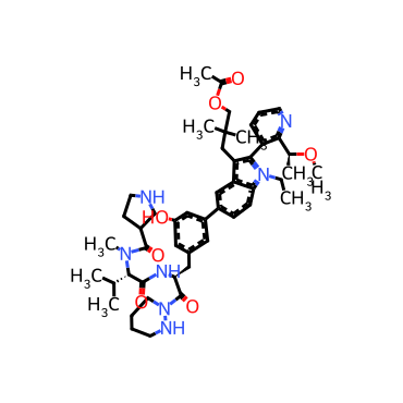 CCn1c(-c2cccnc2[C@H](C)OC)c(CC(C)(C)COC(C)=O)c2cc(-c3cc(O)cc(C[C@H](NC(=O)[C@H](C(C)C)N(C)C(=O)C4CCNC4)C(=O)N4CCCCN4)c3)ccc21